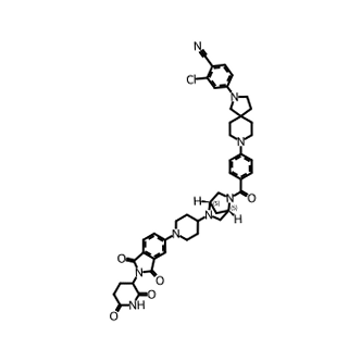 N#Cc1ccc(N2CCC3(CCN(c4ccc(C(=O)N5C[C@@H]6C[C@H]5CN6C5CCN(c6ccc7c(c6)C(=O)N(C6CCC(=O)NC6=O)C7=O)CC5)cc4)CC3)C2)cc1Cl